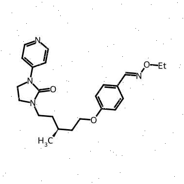 CCON=Cc1ccc(OCC[C@@H](C)CCN2CCN(c3ccncc3)C2=O)cc1